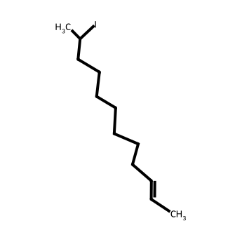 CC=CCCCCCCCC(C)I